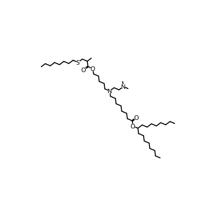 CCCCCCCCSCC(C)C(=O)OCCCCCN(CCCCCCCC(=O)OC(CCCCCCCC)CCCCCCCC)CCN(C)C